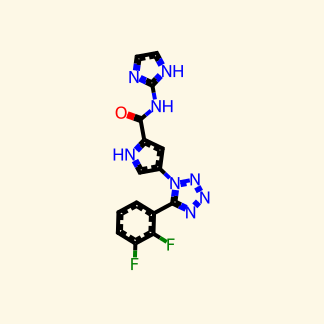 O=C(Nc1ncc[nH]1)c1cc(-n2nnnc2-c2cccc(F)c2F)c[nH]1